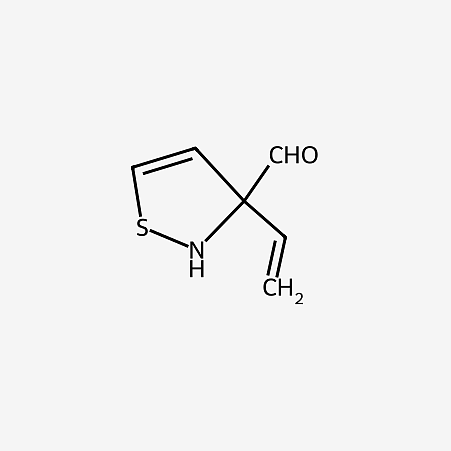 C=CC1(C=O)C=CSN1